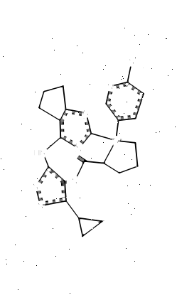 NC(=O)C1CCC[N+]1(c1ccc(N)nc1)c1nc2c(c(Nc3cc(C4CC4)[nH]n3)n1)CCC2